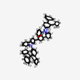 c1ccc(-c2ccc(N(c3ccccc3)c3ccccc3-c3ccc(-c4ccc5c6ccccc6n(-c6ccc7c(c6)C(c6ccccc6)(c6ccccc6)c6ccccc6-7)c5c4)cc3)cc2-c2ccccc2)cc1